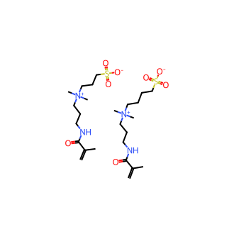 C=C(C)C(=O)NCCC[N+](C)(C)CCCCS(=O)(=O)[O-].C=C(C)C(=O)NCCC[N+](C)(C)CCCS(=O)(=O)[O-]